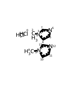 Cl.Cl.Cn1ccnc1.Cn1ccnc1